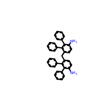 Nc1ccc(Cc2ccc(N)c(-c3ccccc3)c2-c2ccccc2)c(-c2ccccc2)c1-c1ccccc1